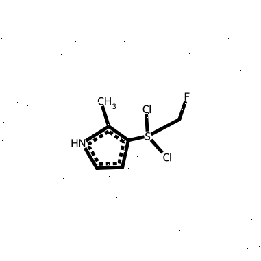 Cc1[nH]ccc1S(Cl)(Cl)CF